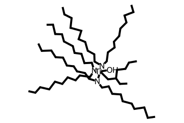 CCCCCCCCCC[N](CCCCCCCCCC)[Ti]([OH])([CH2]C(CC)CCCC)([N](CCCCCCCCCC)CCCCCCCCCC)[N](CCCCCCCCCC)CCCCCCCCCC